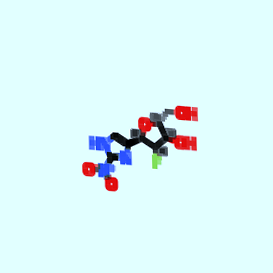 O=[N+]([O-])c1nc([C@H]2O[C@H](CO)[C@@H](O)[C@H]2F)c[nH]1